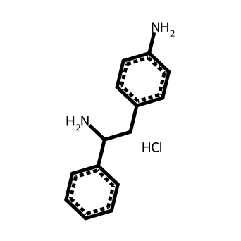 Cl.Nc1ccc(CC(N)c2ccccc2)cc1